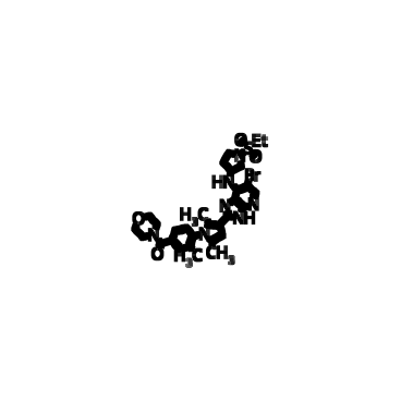 CCS(=O)(=O)N1CCC(Nc2c(Br)cnc3[nH]c(-c4cc(C)n(-c5ccc(C(=O)N6CCOCC6)cc5C)c4C)nc23)C1